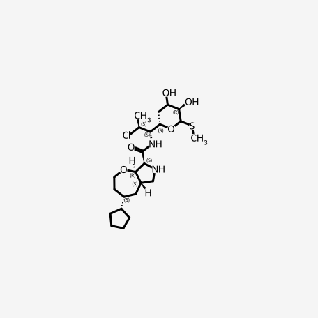 CSC1O[C@H]([C@H](NC(=O)[C@H]2NC[C@@H]3C[C@H](C4CCCC4)CCO[C@H]32)[C@H](C)Cl)CC(O)[C@H]1O